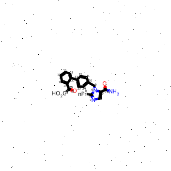 CCCc1ncc(C(N)=O)n1Cc1ccc(-c2ccccc2C(=O)C(=O)O)cc1